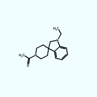 CCN1CC2(CCN(C(C)=O)CC2)c2ccccc21